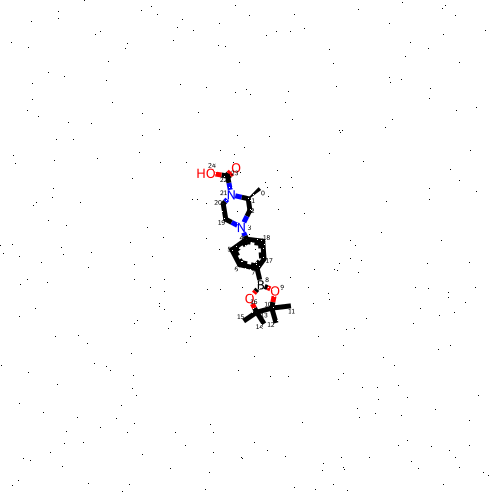 C[C@H]1CN(c2ccc(B3OC(C)(C)C(C)(C)O3)cc2)CCN1C(=O)O